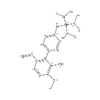 COc1ccc(C=O)c(-c2ccc(O[Si](C(C)C)(C(C)C)C(C)C)cc2)c1O